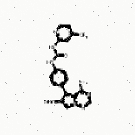 Nc1ncnn2cc(C=O)c(-c3ccc(NC(=O)Nc4cc(C(F)(F)F)ccn4)cc3)c12